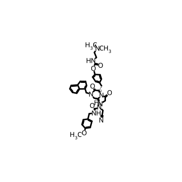 COc1ccc(CNC(=O)N(CC#N)N2CC(=O)N3[C@@H](Cc4ccc(OC(=O)NCCN(C)C)cc4)C(=O)N(Cc4cccc5ccccc45)C[C@@H]32)cc1